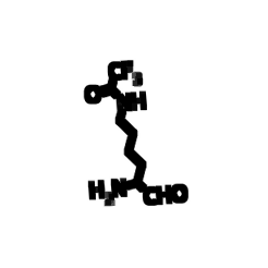 NC(C=O)CCCCNC(=O)C(F)(F)F